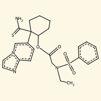 CCN(CC(=O)OC1CCCCC1(C(N)=S)c1ccc2nccn2c1)S(=O)(=O)c1ccccc1